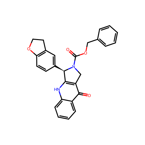 O=C(OCc1ccccc1)N1Cc2c([nH]c3ccccc3c2=O)[C@H]1c1ccc2c(c1)CCO2